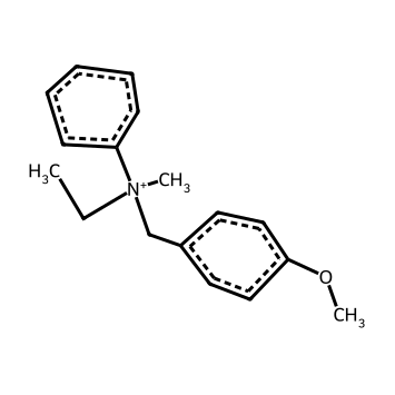 CC[N+](C)(Cc1ccc(OC)cc1)c1ccccc1